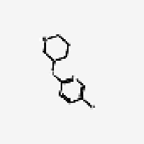 Brc1ccc(OC2CCCNC2)nc1